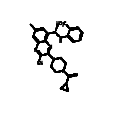 Cc1cc([C@@H](C)Nc2ccccc2C(=O)O)c2nc(N3CCN(C(=O)C4CC4)CC3)c(C#N)nc2c1